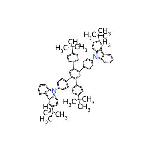 CC(C)(C)c1ccc(-c2cc(-c3ccc(-n4c5ccccc5c5cc(C(C)(C)C)ccc54)cc3)c(-c3ccc(C(C)(C)C)cc3)cc2-c2ccc(-n3c4ccccc4c4cc(C(C)(C)C)ccc43)cc2)cc1